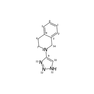 c1ccc2c(c1)CCN(c1c[nH]nn1)C2